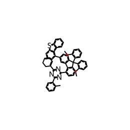 CCc1ccccc1C1(c2ccccc2CC)c2ccc(-c3cccc4sc5ccccc5c34)cc2-c2c(-c3nc(C4=CC=CCC4)nc(-c4ccccc4C)n3)cccc21